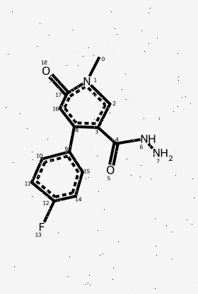 Cn1cc(C(=O)NN)c(-c2ccc(F)cc2)cc1=O